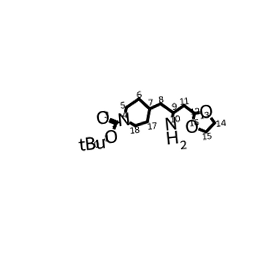 CC(C)(C)OC(=O)N1CCC(CC(N)CC2OCCO2)CC1